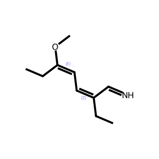 CC/C(C=N)=C/C=C(\CC)OC